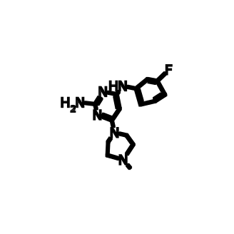 CN1CCN(c2cc(Nc3cccc(F)c3)nc(N)n2)CC1